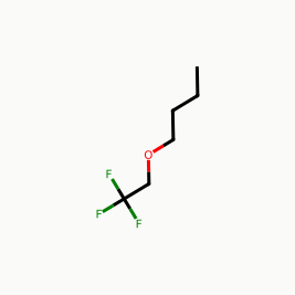 CCCCOCC(F)(F)F